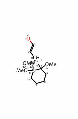 CC=C[O].CCCC1(OC)CCCC[Si]1(OC)OC